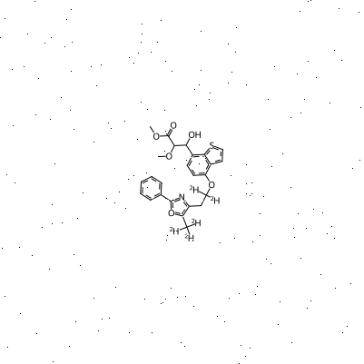 [2H]C([2H])(Cc1nc(-c2ccccc2)oc1C([2H])([2H])[2H])Oc1ccc(C(O)C(OC)C(=O)OC)c2sccc12